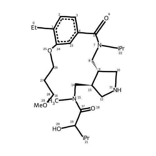 CCc1ccc(C(=O)N(C[C@@H]2CNC[C@H]2CN(C)C(=O)C(O)C(C)C)C(C)C)cc1OCCCOC